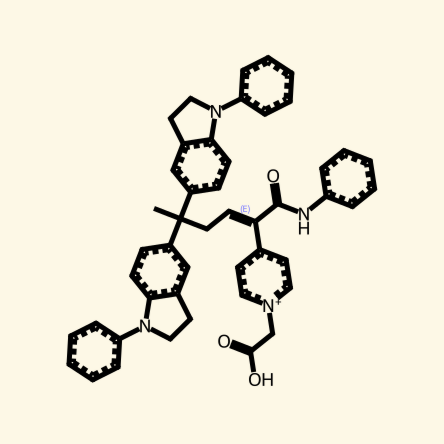 CC(C/C=C(/C(=O)Nc1ccccc1)c1cc[n+](CC(=O)O)cc1)(c1ccc2c(c1)CCN2c1ccccc1)c1ccc2c(c1)CCN2c1ccccc1